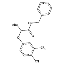 CCCCC(Oc1ccc(C#N)c(C(F)(F)F)c1)C(=O)NCc1ccccc1